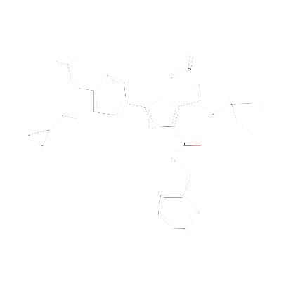 CC(C)(C)CC(OC(N)=O)c1oc(-c2ccc(OC(F)F)c(OCC3CC3)c2)nc1C(=O)NCc1cccc(F)c1